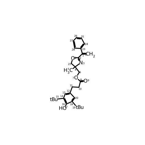 C=C(C1=NC(C)(COC(=O)CCc2cc(C(C)(C)C)c(O)c(C(C)(C)C)c2)CO1)c1ccccc1